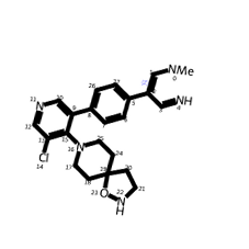 CN/C=C(\C=N)c1ccc(-c2cncc(Cl)c2N2CCC3(CCNO3)CC2)cc1